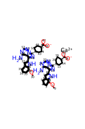 COc1cccc2cc(-c3nc([C@H]4CC[C@H](C(=O)[O-])CC4)n4ncnc(N)c34)[nH]c12.COc1cccc2cc(-c3nc([C@H]4CC[C@H](C(=O)[O-])CC4)n4ncnc(N)c34)[nH]c12.[Ca+2]